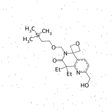 CCC1(CC)C(=O)N(COCC[Si](C)(C)C)C2(COC2)c2ccc(CO)nc21